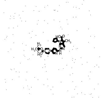 Cc1c(C(=O)O)n(C2CCCC2)c2nc(Nc3ccc(N4CCN(C(=O)OC(C)(C)C)CC4)cn3)ncc12